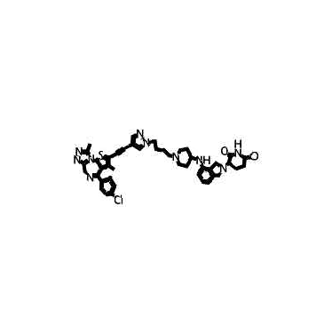 Cc1c(C#Cc2cnn(CCCCN3CCC(Nc4cccc5c4CN(C4CCC(=O)NC4=O)C5)CC3)c2)sc2c1C(c1ccc(Cl)cc1)=NCc1nnc(C)n1-2